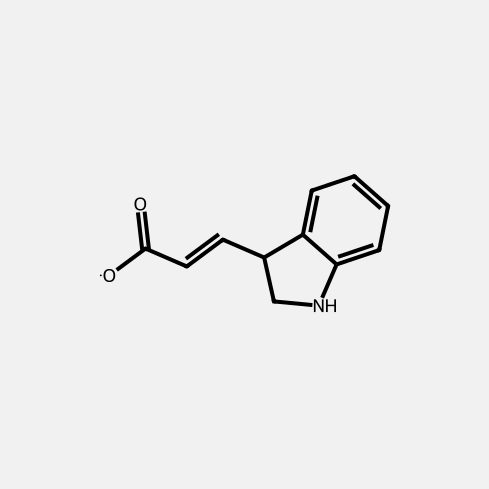 [O]C(=O)C=CC1CNc2ccccc21